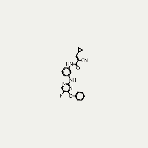 N#CC(=CC1CC1)C(=O)Nc1cccc(Nc2ncc(F)c(Oc3ccccc3)n2)c1